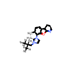 [2H]C([2H])([2H])C(C)(CN1C=CN(c2c(C)ccc3c2oc2ncccc23)[C@H]1C)C([2H])([2H])[2H]